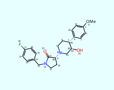 COc1ccc([C@H]2CCN([C@@H]3CCN(Cc4ccc(F)cc4)C3=O)C[C@@H]2O)cc1